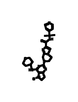 CC(C)(NC(=O)c1cn2c(n1)CN(c1nc3c(c(NC4CCOCC4)n1)[S+]([O-])CC3)CC2)c1ccncc1